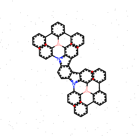 c1ccc(-c2cccc(-c3ccccc3)c2B2c3ccccc3-n3c4ccc5c(c6cccc7c6n5-c5ccccc5B7c5c(-c6ccccc6)cccc5-c5ccccc5)c4c4cccc2c43)cc1